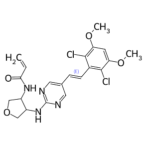 C=CC(=O)NC1COCC1Nc1ncc(/C=C/c2c(Cl)c(OC)cc(OC)c2Cl)cn1